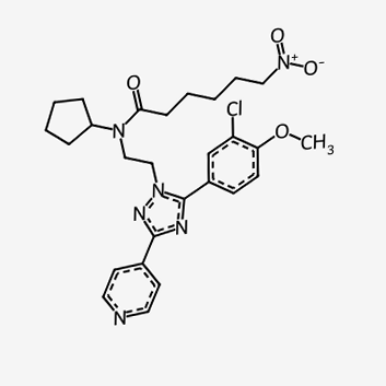 COc1ccc(-c2nc(-c3ccncc3)nn2CCN(C(=O)CCCCC[N+](=O)[O-])C2CCCC2)cc1Cl